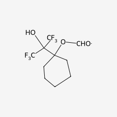 O=[C]OC1(C(O)(C(F)(F)F)C(F)(F)F)CCCCC1